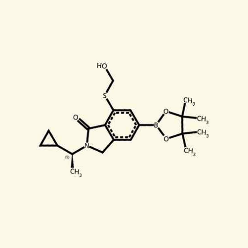 C[C@@H](C1CC1)N1Cc2cc(B3OC(C)(C)C(C)(C)O3)cc(SCO)c2C1=O